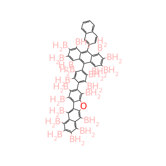 Bc1c(B)c(-c2c3c(B)c(B)c(B)c(B)c3c(-c3ccc4ccccc4c3)c3c(B)c(B)c(B)c(B)c23)c(B)c(B)c1-c1c(B)c(B)c2c(oc3c(B)c4c(B)c(B)c(B)c(B)c4c(B)c32)c1B